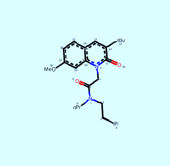 CCCN(CCC(C)C)C(=O)Cn1c(=O)c(C(C)(C)C)cc2ccc(OC)cc21